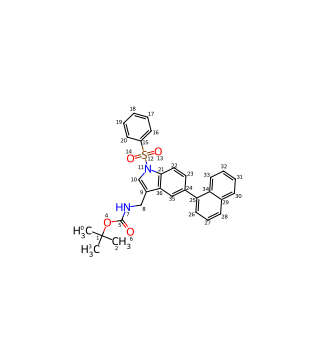 CC(C)(C)OC(=O)NCc1cn(S(=O)(=O)c2ccccc2)c2ccc(-c3cccc4ccccc34)cc12